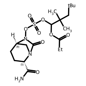 CCC(=O)OC(OS(=O)(=O)ON1C(=O)N2C[C@H]1CC[C@H]2C(N)=O)C(C)(C)CC(C)(C)C